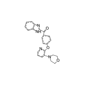 O=C(c1ccc(Oc2ncccc2N2CCOCC2)cc1)c1nc2ccccc2[nH]1